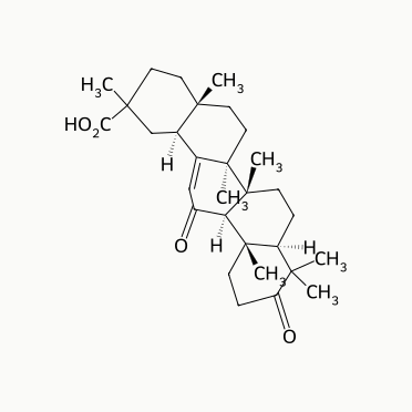 CC1(C(=O)O)CC[C@]2(C)CC[C@]3(C)C(=CC(=O)[C@@H]4[C@@]5(C)CCC(=O)C(C)(C)[C@@H]5CC[C@]43C)[C@H]2C1